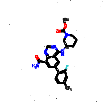 CC(C)(C)OC(=O)N1CCC[C@H](Nc2ncnc3c(C(N)=O)cc(-c4ccc(C(F)(F)F)cc4F)cc23)C1